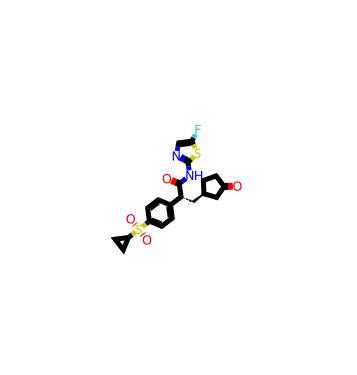 O=C1CC[C@H](C[C@@H](C(=O)Nc2ncc(F)s2)c2ccc(S(=O)(=O)C3CC3)cc2)C1